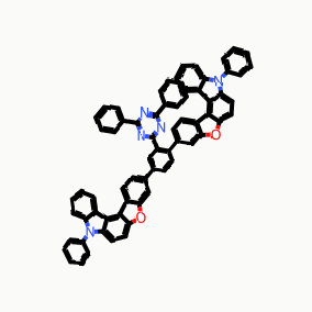 c1ccc(-c2nc(-c3ccccc3)nc(-c3cc(-c4ccc5c(c4)oc4ccc6c(c7ccccc7n6-c6ccccc6)c45)ccc3-c3ccc4c(c3)oc3ccc5c(c6ccccc6n5-c5ccccc5)c34)n2)cc1